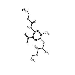 CCOC(=O)Nc1cc(C)c(OC(C)C(=O)OCC)cc1[N+](=O)[O-]